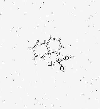 O=S(=O)(Cl)c1cccc2[c]cccc12